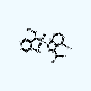 C=CC(c1ccccc1C(F)(F)F)S(=O)(=O)n1cc(C(F)F)c2c(N)cccc21